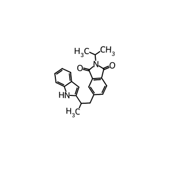 CC(Cc1ccc2c(c1)C(=O)N(C(C)C)C2=O)c1cc2ccccc2[nH]1